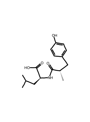 CC(C)C[C@H](NC(=O)[C@@H](C)Cc1ccc(O)cc1)C(=O)O